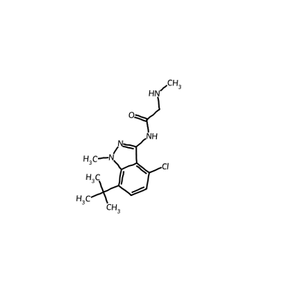 CNCC(=O)Nc1nn(C)c2c(C(C)(C)C)ccc(Cl)c12